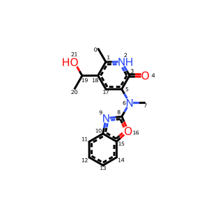 Cc1[nH]c(=O)c(N(C)c2nc3ccccc3o2)cc1C(C)O